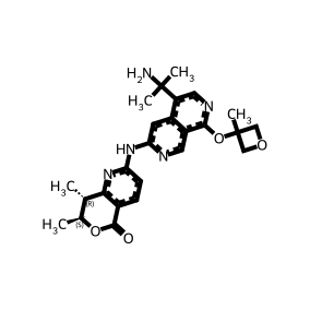 C[C@@H]1OC(=O)c2ccc(Nc3cc4c(C(C)(C)N)cnc(OC5(C)COC5)c4cn3)nc2[C@H]1C